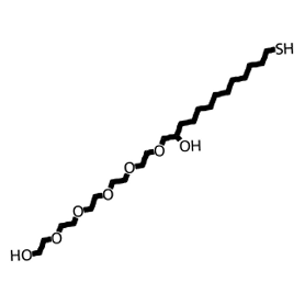 OCCOCCOCCOCCOCCOCC(O)CCCCCCCCCCCS